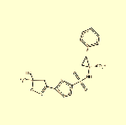 O=C(O)[C@]1(NS(=O)(=O)c2ccc(C3=NOC(O)(C(F)(F)F)C3)s2)C[C@@H]1c1ccccc1